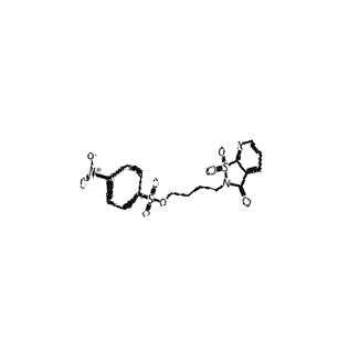 O=C1c2cccnc2S(=O)(=O)N1CCCCOS(=O)(=O)c1ccc([N+](=O)[O-])cc1